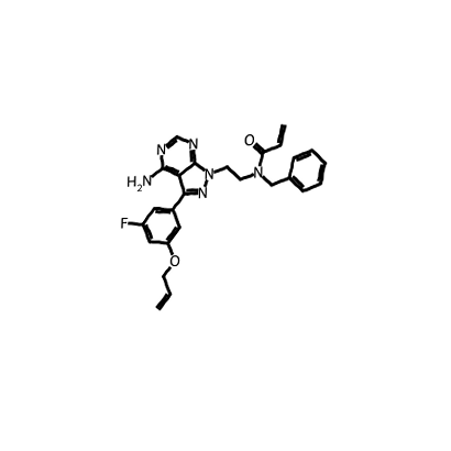 C=CCOc1cc(F)cc(-c2nn(CCN(Cc3ccccc3)C(=O)C=C)c3ncnc(N)c23)c1